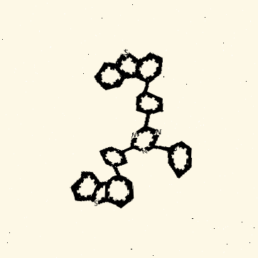 c1ccc(-c2nc(-c3ccc(-c4cccc5sc6ccccc6c45)cc3)nc(-c3cccc(-c4cccc5sc6ccccc6c45)c3)n2)cc1